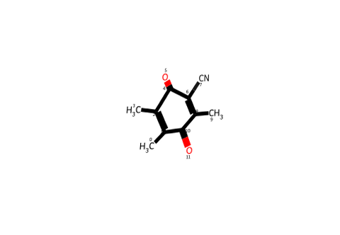 CC1=C(C)C(=O)C(C#N)=C(C)C1=O